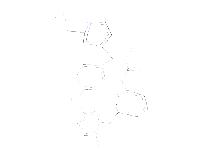 C=CC(=O)Nc1cccc(Nc2nc(Nc3ccc(Cc4ccnc(C(=O)NC)c4)cc3)ncc2F)c1